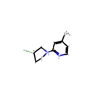 Cc1ccnc(N2CC[C@H](F)C2)c1